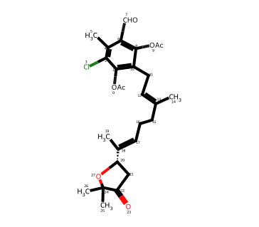 CC(=O)Oc1c(Cl)c(C)c(C=O)c(OC(C)=O)c1C/C=C(\C)CC/C=C(\C)[C@@H]1CC(=O)C(C)(C)O1